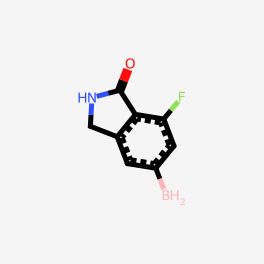 Bc1cc(F)c2c(c1)CNC2=O